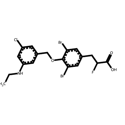 CCNc1cc(Cl)cc(COc2c(Br)cc(CC(F)C(=O)O)cc2Br)c1